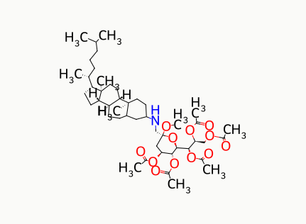 CO[C@]1(CNC2CC[C@@]3(C)C(CC[C@H]4[C@@H]5CC[C@H]([C@H](C)CCCC(C)C)[C@@]5(C)CC[C@@H]43)C2)C[C@H](OC(C)=O)[C@@H](OC(C)=O)[C@H]([C@H](OC(C)=O)[C@H](COC(C)=O)OC(C)=O)O1